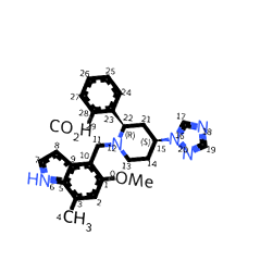 COc1cc(C)c2[nH]ccc2c1CN1CC[C@H](n2cncn2)C[C@@H]1c1ccccc1C(=O)O